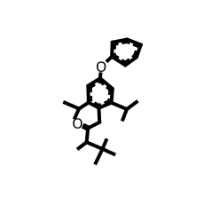 CC(C)c1cc(Oc2ccccc2)cc(C(C)C)c1CC(=O)C(C)C(C)(C)C